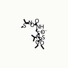 CCOP(=S)(OCC)N(C(C)C)[S+]([O-])CNC(=O)ON=C(C)SC